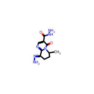 CC1CC/C(=N\N)c2ncc(C(=O)NN)c(=O)n21